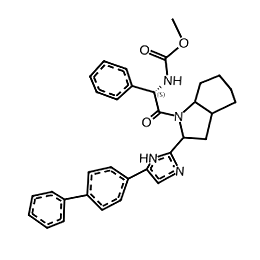 COC(=O)N[C@H](C(=O)N1C(c2ncc(-c3ccc(-c4ccccc4)cc3)[nH]2)CC2CCCCC21)c1ccccc1